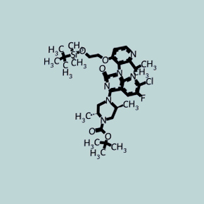 CC(C)c1nccc(OCCO[Si](C)(C)C(C)(C)C)c1-n1c(=O)nc(N2C[C@@H](C)N(C(=O)OC(C)(C)C)C[C@@H]2C)c2cc(F)c(Cl)nc21